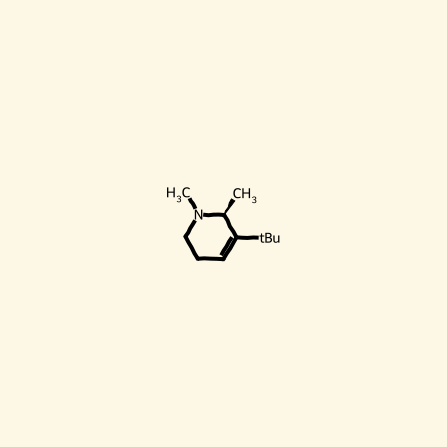 C[C@H]1C(C(C)(C)C)=CCCN1C